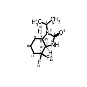 CC(C)N1C(=O)N[C@@H]2[C@H]1CCCC2(F)F